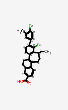 CCC1CCC2=C(CCc3cc(C(=O)O)ccc32)c2ccc(-c3ccc(F)c(C)c3)c(F)c21